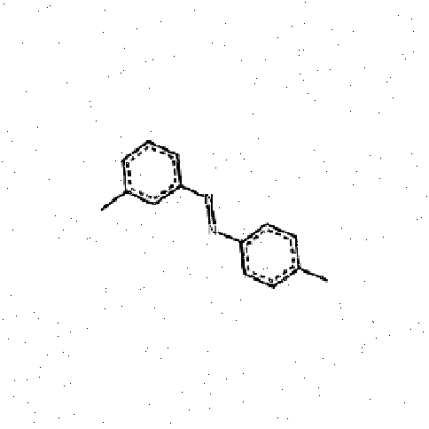 Cc1ccc(N=Nc2cccc(C)c2)cc1